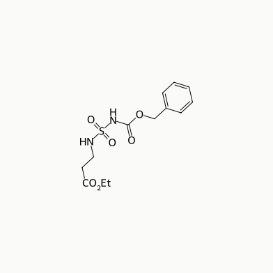 CCOC(=O)CCNS(=O)(=O)NC(=O)OCc1ccccc1